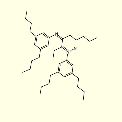 CCCCCC(=Nc1cc(CCCC)cc(CCCC)c1)C(CC)=[N+]([Ni])c1cc(CCCC)cc(CCCC)c1